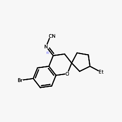 CCC1CCC2(C/C(=N\C#N)c3cc(Br)ccc3O2)C1